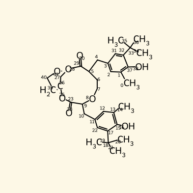 Cc1cc(CC2CCOC(Cc3cc(C)c(O)c(C(C)(C)C)c3)C(=O)OCCOC2=O)cc(C(C)(C)C)c1O.[CH2]C[O]